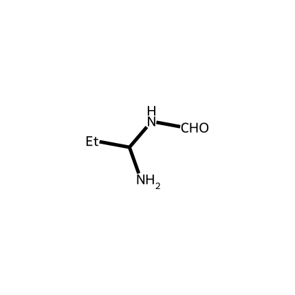 CCC(N)NC=O